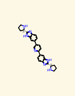 c1cc(-c2ccc3nc([C@@H]4CCCN4)[nH]c3c2)ncc1-c1ccc2nc([C@@H]3CCCN3)[nH]c2c1